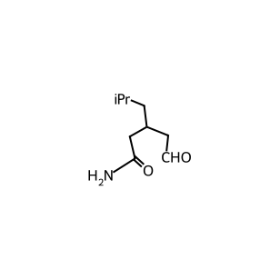 CC(C)CC(CC=O)CC(N)=O